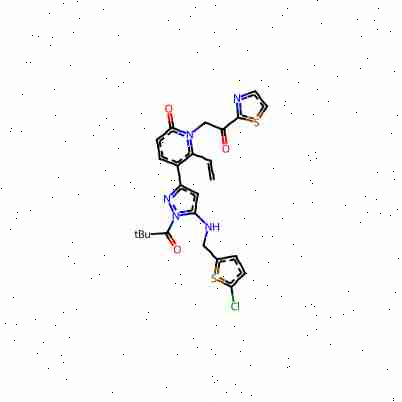 C=Cc1c(-c2cc(NCc3ccc(Cl)s3)n(C(=O)C(C)(C)C)n2)ccc(=O)n1CC(=O)c1nccs1